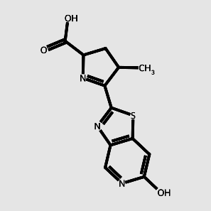 CC1CC(C(=O)O)N=C1c1nc2cnc(O)cc2s1